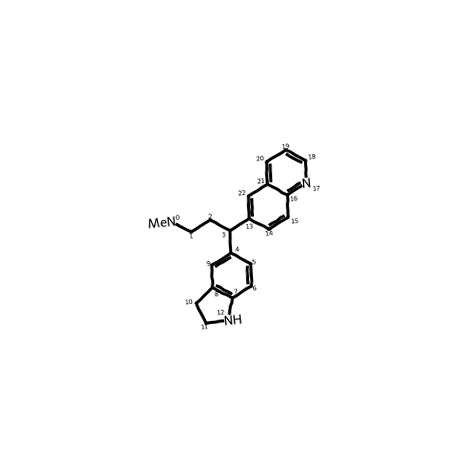 CNCCC(c1ccc2c(c1)CCN2)c1ccc2ncccc2c1